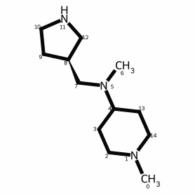 CN1CCC(N(C)C[C@H]2CCNC2)CC1